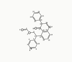 O=COCC(c1ccncc1)c1cccc2c1C(=O)C(c1ccccc1)C=N2